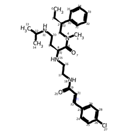 CC[C@H](CN(C)C(=O)[C@H](CCNC(C)C)NCCNC(=O)/C=C/c1ccc(Cl)cc1)c1ccccc1